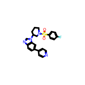 O=S(=O)(c1ccc(F)cc1)N1CCCC(n2cnc3ccc(-c4ccncc4)cc32)C1